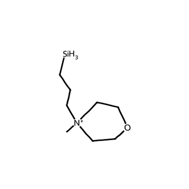 C[N+]1(CCC[SiH3])CCOCC1